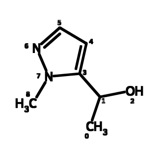 CC(O)c1ccnn1C